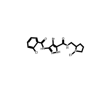 CCN1CCCC1CNC(=O)c1[nH]nc(NC(=O)c2ccccc2Cl)c1Br